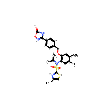 Cc1csc(S(=O)(=O)N(c2cc(C)c(C)cc2OCc2ccc(-c3noc(=O)[nH]3)cc2)C(C)C)n1